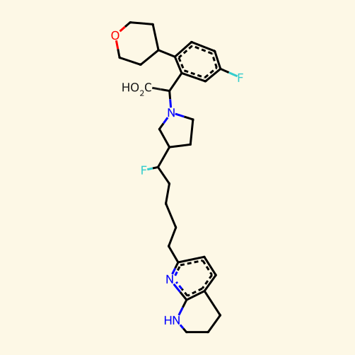 O=C(O)C(c1cc(F)ccc1C1CCOCC1)N1CCC(C(F)CCCCc2ccc3c(n2)NCCC3)C1